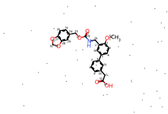 COc1ccc(-c2cccc(CC(=O)O)c2)cc1CNC(=O)OCc1ccc2c(c1)OCO2